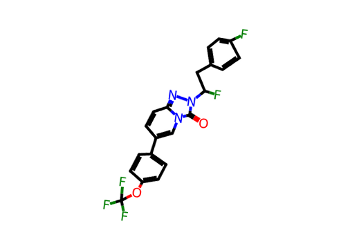 O=c1n(C(F)Cc2ccc(F)cc2)nc2ccc(-c3ccc(OC(F)(F)F)cc3)cn12